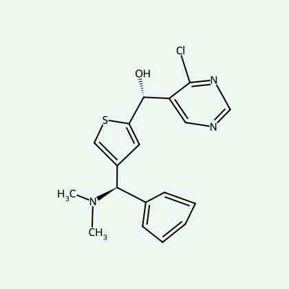 CN(C)[C@H](c1ccccc1)c1csc([C@H](O)c2cncnc2Cl)c1